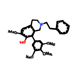 COc1cc2c(c(-c3cc(OC)c(OC)c(OC)c3)c1O)CN(CCc1ccccc1)CC2